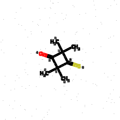 CC1(C)C(=O)C(C)(C)C1=S